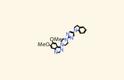 COc1cc2ncnc(N3CCN(c4ncc(N5CCc6ccccc65)cn4)CC3)c2cc1OC